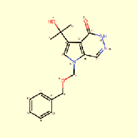 CC(C)(O)c1cn(COCc2ccccc2)c2cn[nH]c(=O)c12